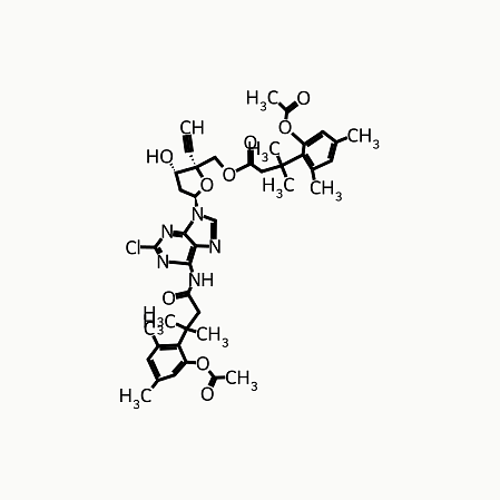 C#C[C@]1(COC(=O)CC(C)(C)c2c(C)cc(C)cc2OC(C)=O)O[C@@H](n2cnc3c(NC(=O)CC(C)(C)c4c(C)cc(C)cc4OC(C)=O)nc(Cl)nc32)C[C@@H]1O